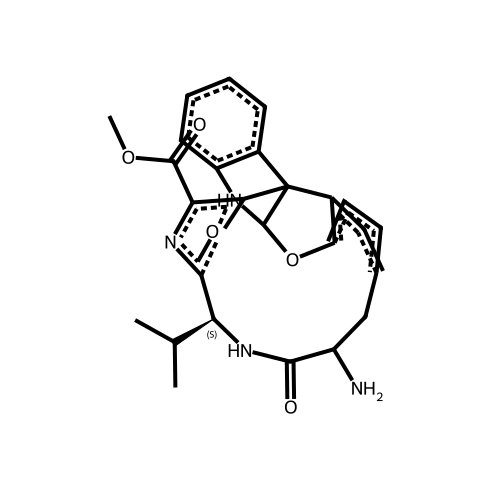 COC(=O)c1nc2oc1C13c4ccccc4NC1Oc1ccc(cc13)CC(N)C(=O)N[C@H]2C(C)C